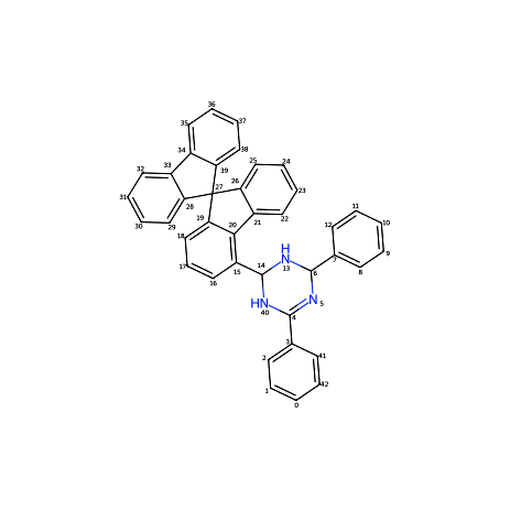 c1ccc(C2=NC(c3ccccc3)NC(c3cccc4c3-c3ccccc3C43c4ccccc4-c4ccccc43)N2)cc1